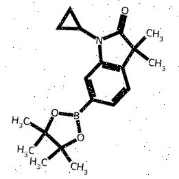 CC1(C)C(=O)N(C2CC2)c2cc(B3OC(C)(C)C(C)(C)O3)ccc21